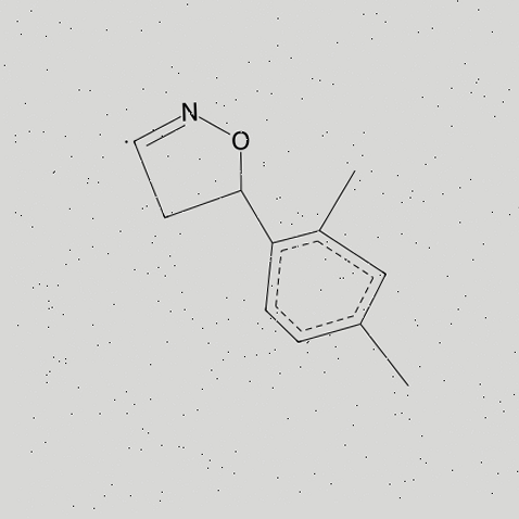 Cc1ccc(C2C[C]=NO2)c(C)c1